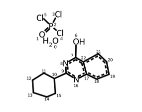 O.O=P(Cl)(Cl)Cl.Oc1nc(C2CCCCC2)nc2ccccc12